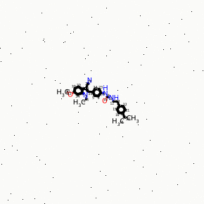 CCn1c(-c2ccc(NC(=O)NCCc3ccc(C(C)C)cc3)cc2)c(C#N)c2ccc(OC)cc21